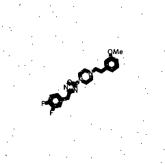 COc1cccc(CCN2CCN(c3nc(Cc4ccc(F)c(F)c4)no3)CC2)c1